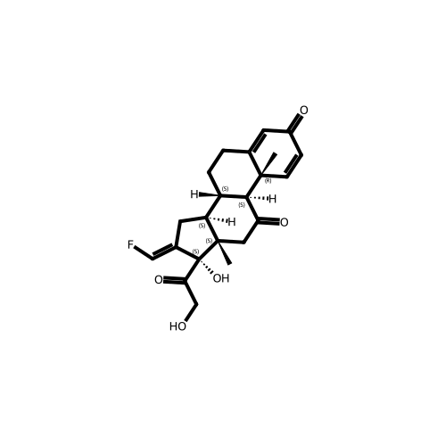 C[C@]12C=CC(=O)C=C1CC[C@@H]1[C@@H]2C(=O)C[C@@]2(C)[C@H]1CC(=CF)[C@]2(O)C(=O)CO